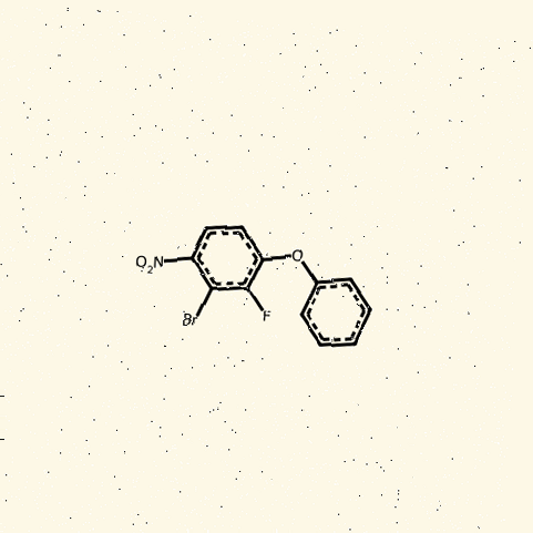 O=[N+]([O-])c1ccc(Oc2ccccc2)c(F)c1Br